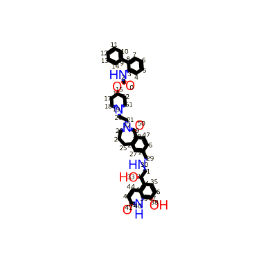 O=C(Nc1ccccc1-c1ccccc1)OC1CCN(CCN2CCCc3cc(CNC[C@H](O)c4ccc(O)c5[nH]c(=O)ccc45)ccc3C2=O)CC1